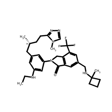 CCNc1cc(C[C@H](C)CCc2nncn2C)cc(N2Cc3c(cc(CNC4(C)CCC4)cc3C(F)(F)F)C2=O)c1